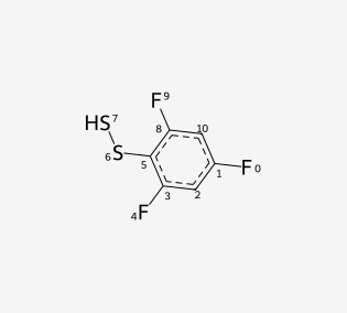 Fc1cc(F)c(SS)c(F)c1